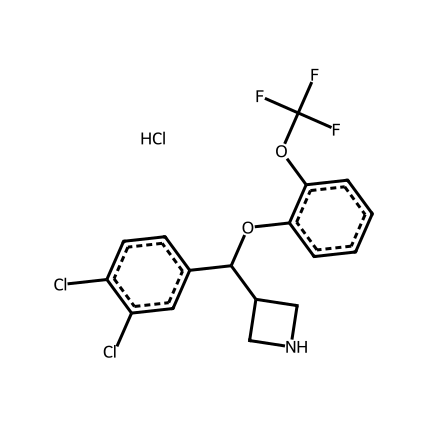 Cl.FC(F)(F)Oc1ccccc1OC(c1ccc(Cl)c(Cl)c1)C1CNC1